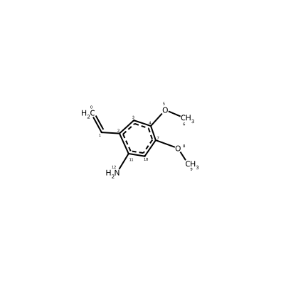 C=Cc1cc(OC)c(OC)cc1N